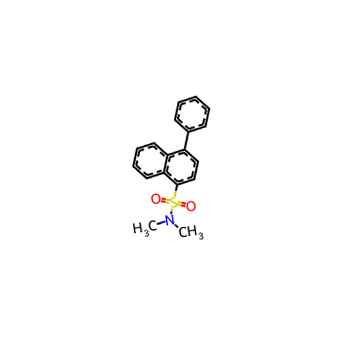 CN(C)S(=O)(=O)c1ccc(-c2ccccc2)c2ccccc12